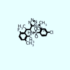 COc1cc(Cl)ccc1S(=O)(=O)N[C@H](c1nnnn1C)[C@H](C)c1c(F)ccc(C)c1C